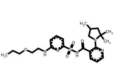 CCCOCCNc1cccc(S(=O)(=O)NC(=O)c2cccnc2N2CC(C)CC2(C)C)n1